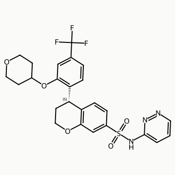 O=S(=O)(Nc1cccnn1)c1ccc2c(c1)OCC[C@@H]2c1ccc(C(F)(F)F)cc1OC1CCOCC1